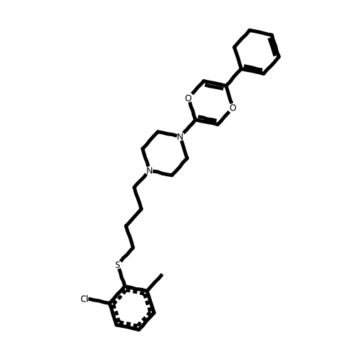 Cc1cccc(Cl)c1SCCCCN1CCN(C2=COC(C3=CC=CCC3)=CO2)CC1